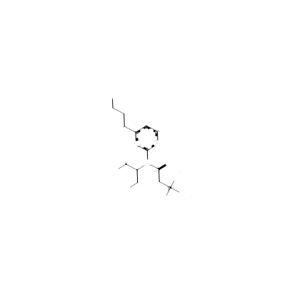 CCCCc1ccnc(N(C(=O)CC(C)(C)C)C(CC)CC)n1